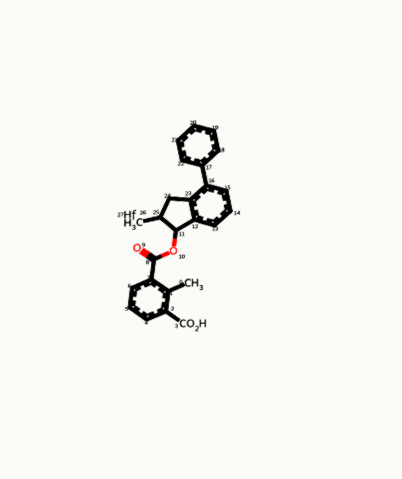 Cc1c(C(=O)O)cccc1C(=O)OC1c2cccc(-c3ccccc3)c2CC1C.[Hf]